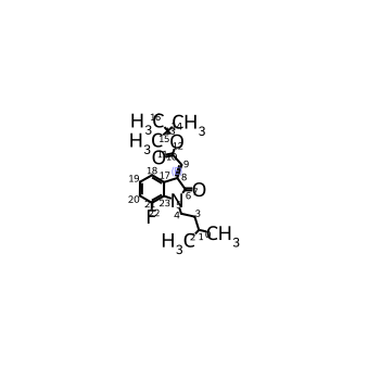 CC(C)CCN1C(=O)/C(=C/C(=O)OC(C)(C)C)c2cccc(F)c21